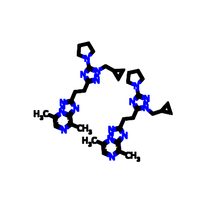 Cc1ncc(C)n2nc(CCc3nc(N4CCCC4)n(CC4CC4)n3)nc12.Cc1ncc(C)n2nc(CCc3nc(N4CCCC4)nn3CC3CC3)nc12